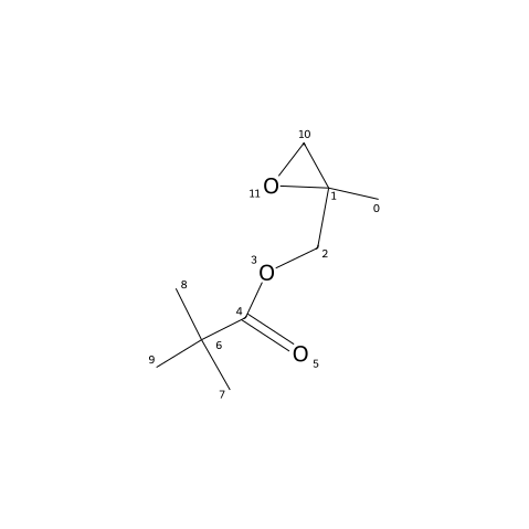 CC1(COC(=O)C(C)(C)C)CO1